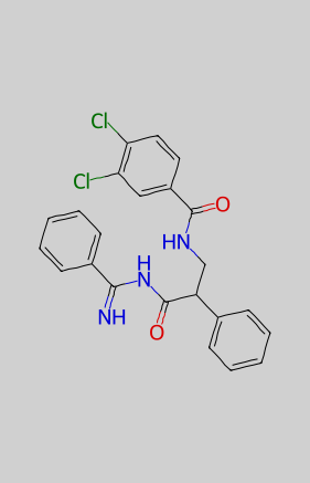 N=C(NC(=O)C(CNC(=O)c1ccc(Cl)c(Cl)c1)c1ccccc1)c1ccccc1